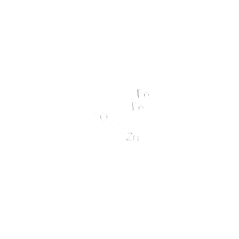 [Fe].[Fe].[O]=[Zn]